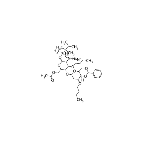 CCCCOC1[C@H](OC2C[C@H](OCCCC)[C@@H]3OC(c4ccccc4)OCC3O2)C(COC(C)=O)O[C@@H](O[Si](C)(C)C(C)(C)C(C)C)[C@H]1N=[N+]=[N-]